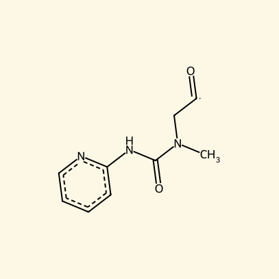 CN(C[C]=O)C(=O)Nc1ccccn1